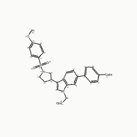 COc1ccc(-c2ccc3c(C4CCN(S(=O)(=O)c5ccc(OC(C)C)cc5)C4)cn(CC=O)c3c2)cc1